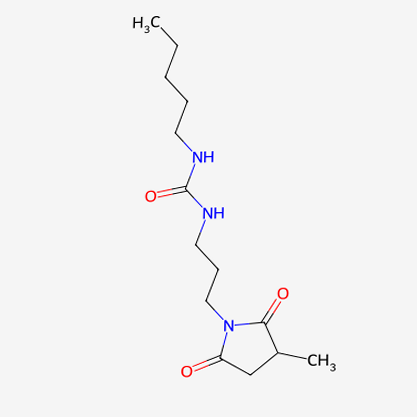 CCCCCNC(=O)NCCCN1C(=O)CC(C)C1=O